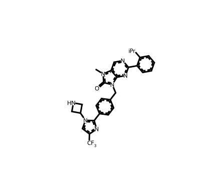 CC(C)c1ccccc1-c1ncc2c(n1)n(Cc1ccc(-c3nc(C(F)(F)F)cn3C3CNC3)cc1)c(=O)n2C